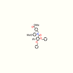 COC(=O)c1ccc(CN(C(=O)c2cc(C(C)C)c(OCc3ccccc3)cc2OCc2ccccc2)c2ccc(OC)cc2)cc1